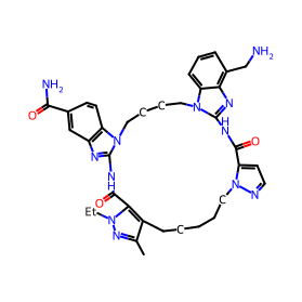 CCn1nc(C)c2c1C(=O)Nc1nc3cc(C(N)=O)ccc3n1CCCCn1c(nc3c(CN)cccc31)NC(=O)c1ccnn1CCCCC2